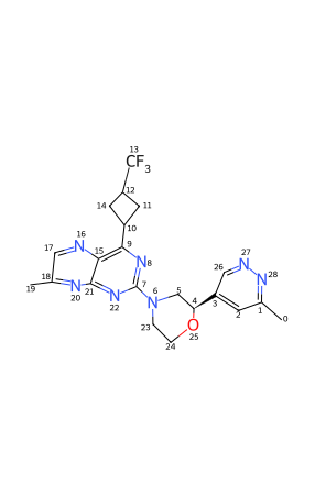 Cc1cc([C@@H]2CN(c3nc(C4CC(C(F)(F)F)C4)c4ncc(C)nc4n3)CCO2)cnn1